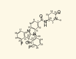 CN1C[C@@H](NC(=O)c2ccc3nc(C(O)(c4ccccc4F)c4ccccc4F)n(C)c3c2)CCC1=O